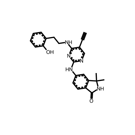 C#Cc1cnc(Nc2ccc3c(c2)C(C)(C)NC3=O)nc1NCCc1ccccc1O